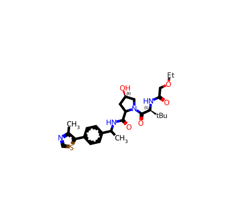 CCOCC(=O)N[C@H](C(=O)N1C[C@H](O)CC1C(=O)NC(C)c1ccc(-c2scnc2C)cc1)C(C)(C)C